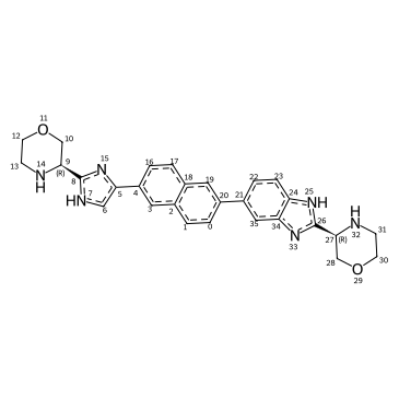 c1cc2cc(-c3c[nH]c([C@@H]4COCCN4)n3)ccc2cc1-c1ccc2[nH]c([C@@H]3COCCN3)nc2c1